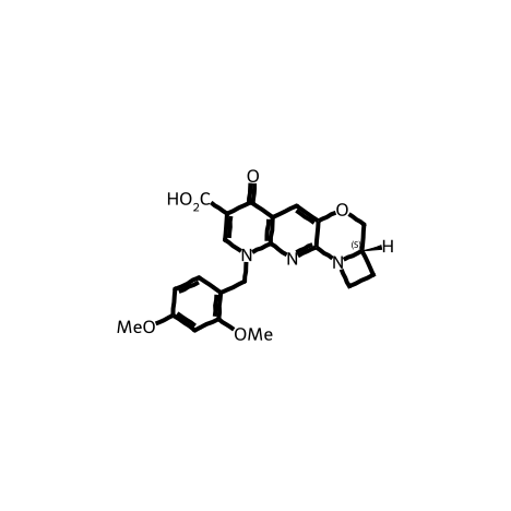 COc1ccc(Cn2cc(C(=O)O)c(=O)c3cc4c(nc32)N2CC[C@H]2CO4)c(OC)c1